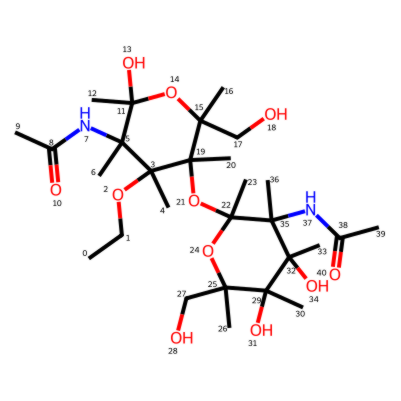 CCOC1(C)C(C)(NC(C)=O)C(C)(O)OC(C)(CO)C1(C)OC1(C)OC(C)(CO)C(C)(O)C(C)(O)C1(C)NC(C)=O